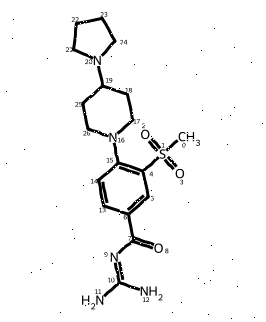 CS(=O)(=O)c1cc(C(=O)N=C(N)N)ccc1N1CCC(N2CCCC2)CC1